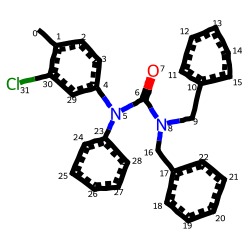 Cc1ccc(N(C(=O)N(Cc2ccccc2)Cc2ccccc2)c2ccccc2)cc1Cl